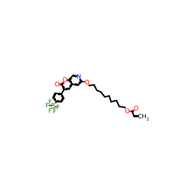 C=CC(=O)OCCCCCCCCCCOc1cc2cc(-c3ccc(S(F)(F)(F)(F)F)cc3)c(=O)oc2cn1